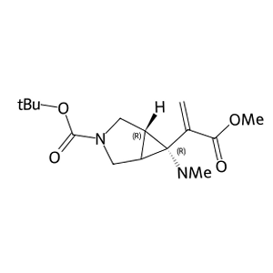 C=C(C(=O)OC)[C@@]1(NC)C2CN(C(=O)OC(C)(C)C)C[C@@H]21